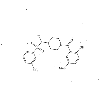 CCC(C1CCN(C(=O)c2cc(SC)ccc2O)CC1)S(=O)(=O)c1cccc(C(F)(F)F)c1